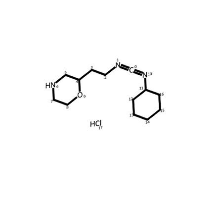 C(=NCCC1CNCCO1)=NC1CCCCC1.Cl